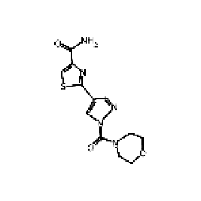 NC(=O)c1csc(-c2cnn(C(=O)N3CCOCC3)c2)n1